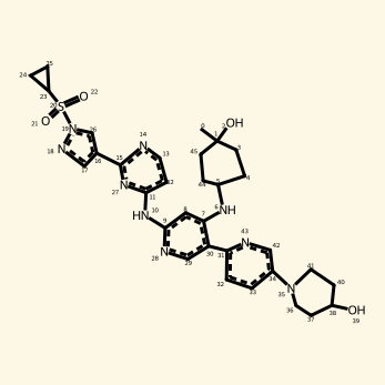 CC1(O)CCC(Nc2cc(Nc3ccnc(-c4cnn(S(=O)(=O)C5CC5)c4)n3)ncc2-c2ccc(N3CCC(O)CC3)cn2)CC1